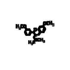 COc1ccc(C[C@@H](CN(C)C)C(=O)c2cccc(OC)c2)cc1